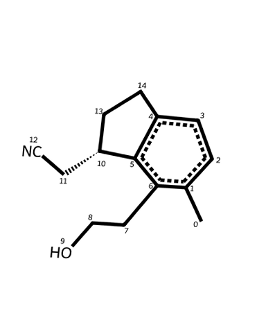 Cc1ccc2c(c1CCO)[C@H](CC#N)CC2